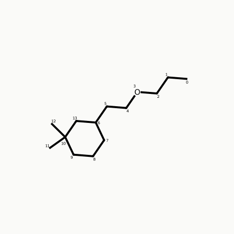 CCCOCCC1CCCC(C)(C)C1